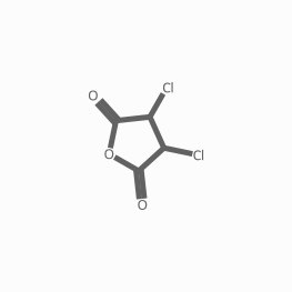 O=C1OC(=O)C(Cl)C1Cl